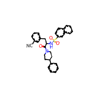 N#Cc1cccc(CC(NS(=O)(=O)c2ccc3ccccc3c2)C(=O)N2CCC(c3ccccc3)CC2)c1